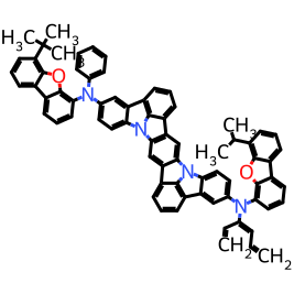 C=C/C=C(\C=C)N(c1ccc2c(c1)c1cccc3c4cc5c(cc4n2c13)c1cccc2c3cc(N(c4ccccc4)c4cccc6c4oc4c(C(C)(C)C)cccc46)ccc3n5c21)c1cccc2c1oc1c(C(C)C)cccc12